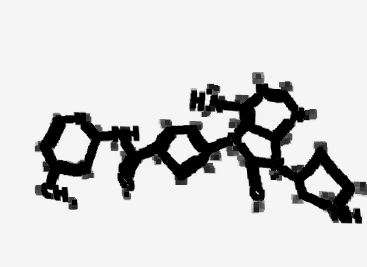 Cc1ccnc(NC(=O)c2ccc(-n3c(=O)n(C4CCNC4)c4ncnc(N)c43)cc2)c1